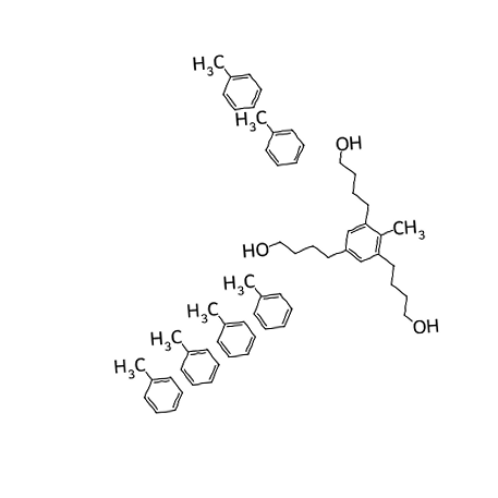 Cc1c(CCCCO)cc(CCCCO)cc1CCCCO.Cc1ccccc1.Cc1ccccc1.Cc1ccccc1.Cc1ccccc1.Cc1ccccc1.Cc1ccccc1